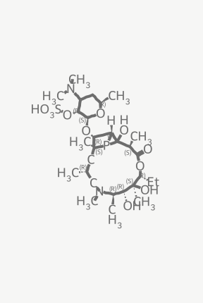 CC[C@H]1OC(=O)[C@H](C)C2(O)[C@H]3[C@@H](O[C@@H]4O[C@H](C)CC(N(C)C)[C@H]4OS(=O)(=O)O)[C@](C)(C[C@@H](C)CN(C)[C@H](C)[C@@H](O)[C@]1(C)O)P32